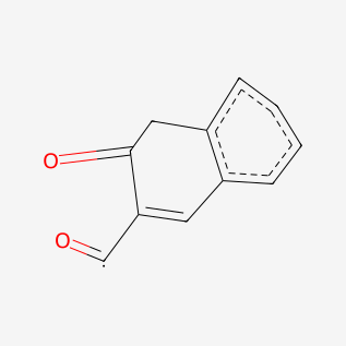 O=[C]C1=Cc2ccccc2CC1=O